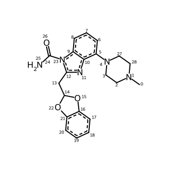 CN1CCN(c2cccc3c2nc(CC2Oc4ccccc4O2)n3C(N)=O)CC1